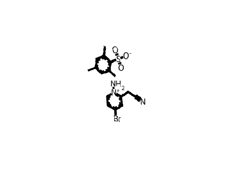 Cc1cc(C)c(S(=O)(=O)[O-])c(C)c1.N#CCc1cc(Br)cc[n+]1N